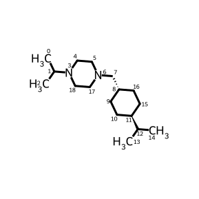 CC(C)N1CCN(C[C@H]2CC[C@H](C(C)C)CC2)CC1